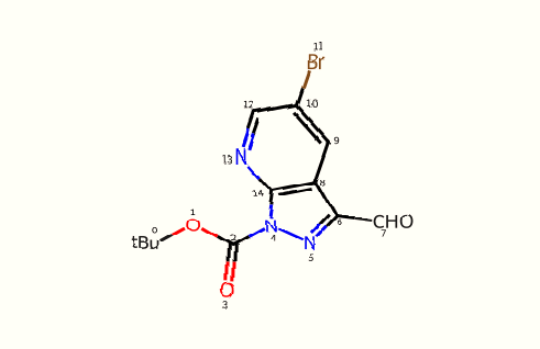 CC(C)(C)OC(=O)n1nc(C=O)c2cc(Br)cnc21